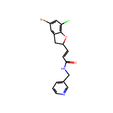 O=C(C=CC1Cc2cc(Br)cc(Cl)c2O1)NCc1cccnc1